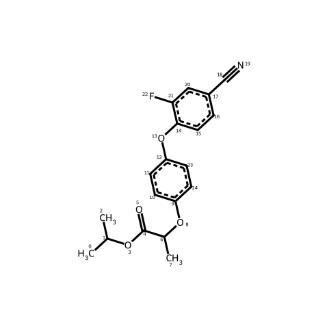 CC(C)OC(=O)C(C)Oc1ccc(Oc2ccc(C#N)cc2F)cc1